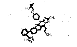 CCCc1c(Cc2ccc(-c3ccccc3-c3nnn[nH]3)cc2)c(=O)n([C@H]2CC[C@H](OCC3(O)C=C3)CC2)c2nc(C)nn12